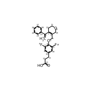 C=C(C1=C(COc2c(F)cc(CCC(=O)O)cc2F)COCC1)c1ccccc1